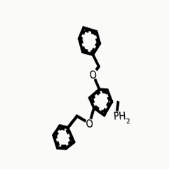 CP.c1ccc(COc2cccc(OCc3ccccc3)c2)cc1